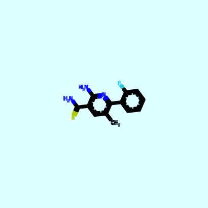 Cc1cc(C(N)=S)c(N)nc1-c1ccccc1F